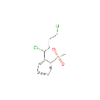 CS(=O)(=O)c1ccccc1C(Cl)C=CCCl